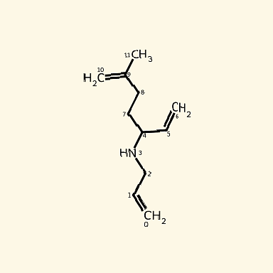 C=CCNC(C=C)CCC(=C)C